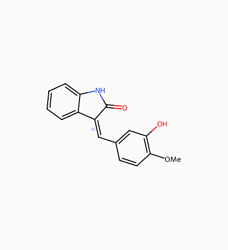 COc1ccc(/C=C2\C(=O)Nc3ccccc32)cc1O